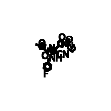 Cc1cc(C(=O)n2nc(C3CC(=O)N(C(=O)N4CCCC4)C3)c(C#N)c2NCc2ccc(F)cc2)co1